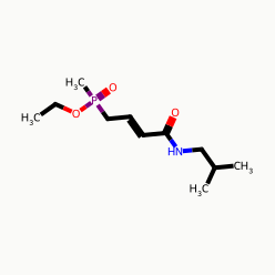 CCOP(C)(=O)C/C=C/C(=O)NCC(C)C